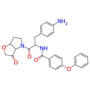 Nc1ccc(CC(NC(=O)c2ccc(Oc3ccccc3)cc2)C(=O)N2CCC3OCC(=O)C32)cc1